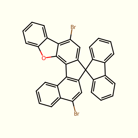 Brc1cc2c(c3ccccc13)-c1c(cc(Br)c3c1oc1ccccc13)C21c2ccccc2-c2ccccc21